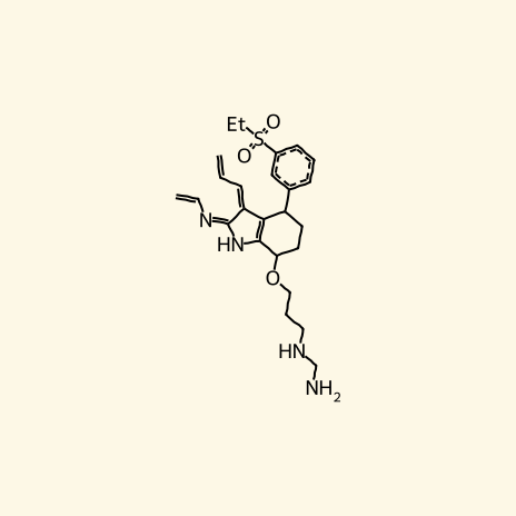 C=C/C=C1/C2=C(N/C1=N/C=C)C(OCCCNCN)CCC2c1cccc(S(=O)(=O)CC)c1